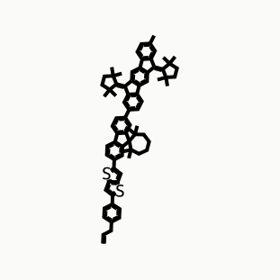 C=CCc1ccc(-c2cc3sc(-c4ccc5c(c4)C4(c6cc(-c7ccc8c(c7)C(=C7C(C)(C)CCC7(C)C)c7cc9c(cc7-8)C(=C7C(C)(C)CCC7(C)C)c7cc(C)ccc7-9)ccc6-5)C(C)(C)CCCCC4(C)C)cc3s2)cc1